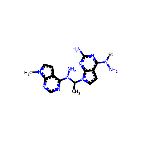 CCN(N)c1nc(N)nc2c1ccn2C(C)N(N)c1ncnc2c1ccn2C